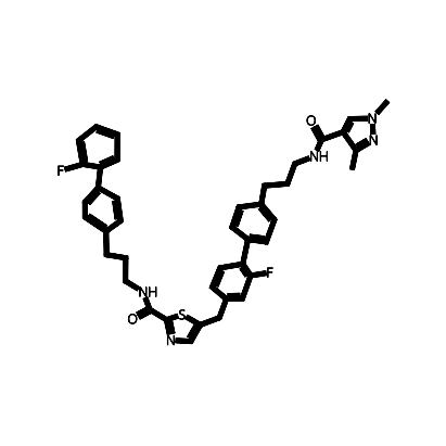 Cc1nn(C)cc1C(=O)NCCCc1ccc(-c2ccc(Cc3cnc(C(=O)NCCCc4ccc(-c5ccccc5F)cc4)s3)cc2F)cc1